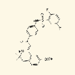 COc1ccc2c(c1)C(=CC(=O)c1ccc(NS(=O)(=O)c3cc(F)ccc3F)cc1)NC(C)(C)C2